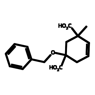 CC1(C(=O)O)C=CCC(OCc2ccccc2)(C(=O)O)C1